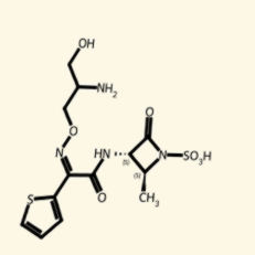 C[C@H]1[C@H](NC(=O)C(=NOCC(N)CO)c2cccs2)C(=O)N1S(=O)(=O)O